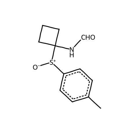 Cc1ccc([S+]([O-])C2(NC=O)CCC2)cc1